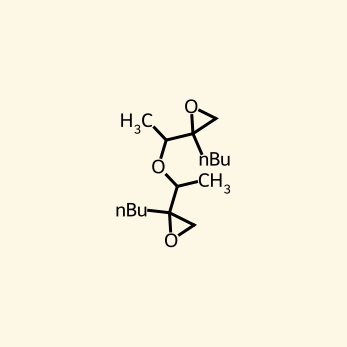 CCCCC1(C(C)OC(C)C2(CCCC)CO2)CO1